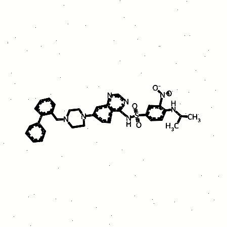 CC(C)Nc1ccc(S(=O)(=O)Nc2ncnc3cc(N4CCN(Cc5ccccc5-c5ccccc5)CC4)ccc23)cc1[N+](=O)[O-]